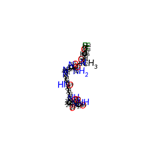 CN(CCCOc1ncc(-c2cn(CCCCNC(=O)CCCCCNc3cccc4c3C(=O)N(C3CCC(=O)NC3=O)C4=O)cn2)cc1C(N)=O)C(=O)Cc1ccc(OC(F)(F)F)cc1